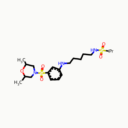 CC1CN(S(=O)(=O)c2cccc(NCCCCCNS(=O)(=O)C(C)C)c2)CC(C)O1